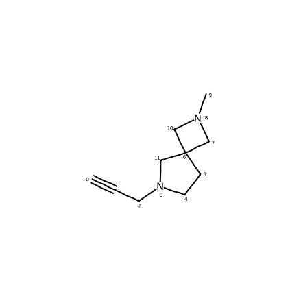 C#CCN1CCC2(CN(C)C2)C1